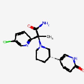 CC(C(N)=O)(c1ccc(Cl)cn1)N1CCC[C@@H](c2ccc(=O)[nH]c2)C1